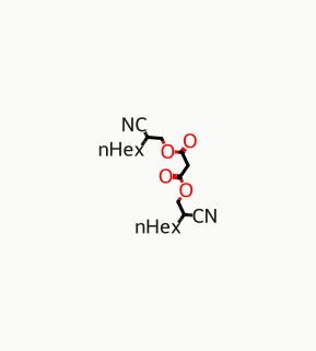 CCCCCCC(C#N)COC(=O)CC(=O)OCC(C#N)CCCCCC